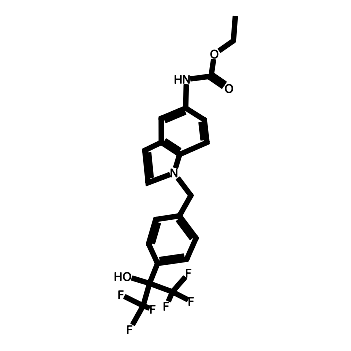 CCOC(=O)Nc1ccc2c(ccn2Cc2ccc(C(O)(C(F)(F)F)C(F)(F)F)cc2)c1